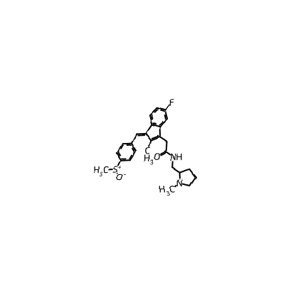 CC1=C(CC(=O)NCC2CCCN2C)c2cc(F)ccc2/C1=C/c1ccc([S+](C)[O-])cc1